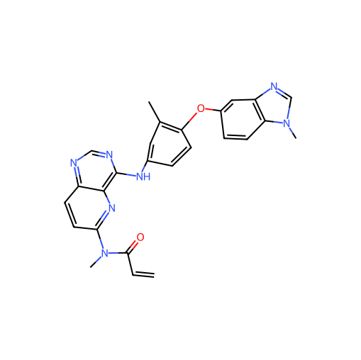 C=CC(=O)N(C)c1ccc2ncnc(Nc3ccc(Oc4ccc5c(c4)ncn5C)c(C)c3)c2n1